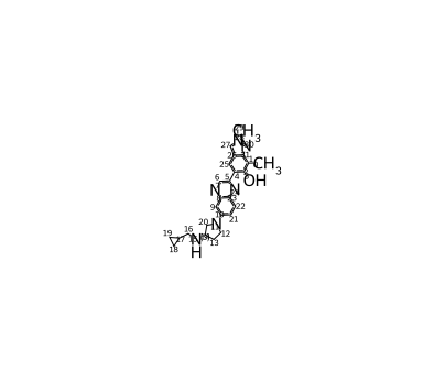 Cc1c(O)c(-c2cnc3cc(N4CC[C@H](NCC5CC5)C4)ccc3n2)cc2cn(C)nc12